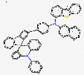 c1ccc(N2c3ccccc3C3(c4ccccc4-c4ccc(-c5ccc(N(c6ccc7ccccc7c6)c6cccc7c6sc6ccccc67)cc5)cc43)c3ccccc32)cc1